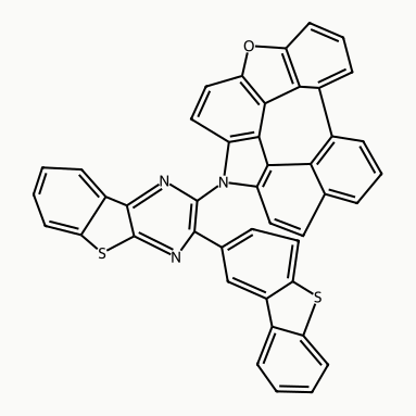 c1cc2c3c(c1)ccc1c3c3c4c(ccc3n1-c1nc3c(nc1-c1ccc5sc6ccccc6c5c1)sc1ccccc13)oc1cccc-2c14